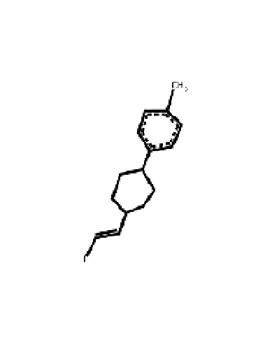 Cc1ccc(C2CCC(C=CI)CC2)cc1